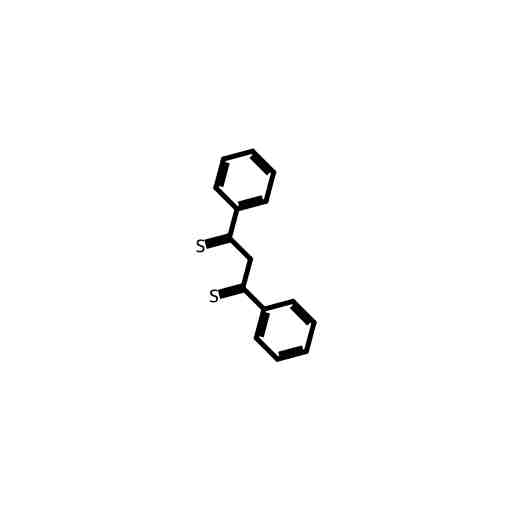 S=C(CC(=S)c1ccccc1)c1ccccc1